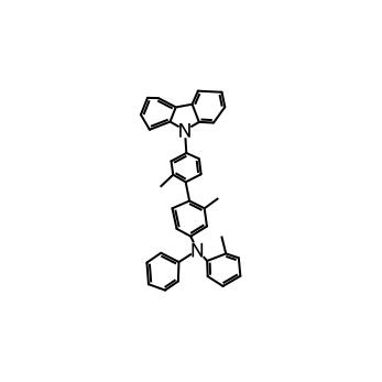 Cc1cc(N(c2ccccc2)c2ccccc2C)ccc1-c1ccc(-n2c3ccccc3c3ccccc32)cc1C